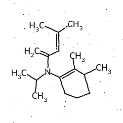 C=C(C=C(C)C)N(C1=C(C)C(C)CCC1)C(C)C